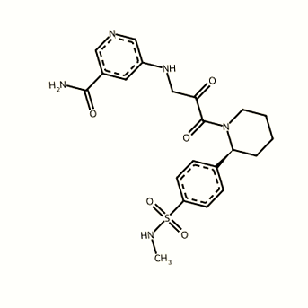 CNS(=O)(=O)c1ccc([C@@H]2CCCCN2C(=O)C(=O)CNc2cncc(C(N)=O)c2)cc1